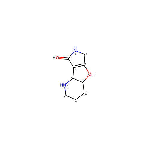 O=C1NCC2=C1C1NCCCC1O2